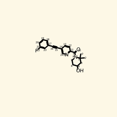 CC1(C)CC(O)CCN1C(=O)c1ccc(C#Cc2cccc(F)c2)cn1